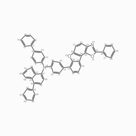 c1ccc(-c2ccc(N(c3ccc(-c4cccc5c4oc4ccc6nc(-c7ccccc7)oc6c45)cc3)c3ccc(-c4ccccc4)c4ccccc34)cc2)cc1